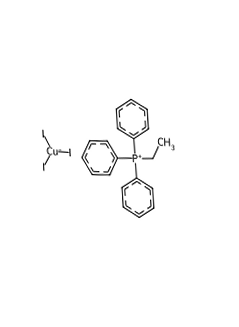 CC[P+](c1ccccc1)(c1ccccc1)c1ccccc1.[I][Cu-]([I])[I]